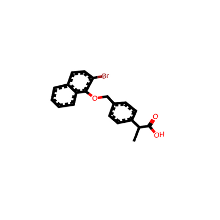 CC(C(=O)O)c1ccc(COc2c(Br)ccc3ccccc23)cc1